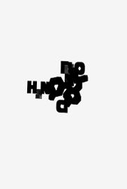 CCC(=O)N1N=C(c2ccc(N)c(C)c2)c2cc(Cl)ccc2C=C1C